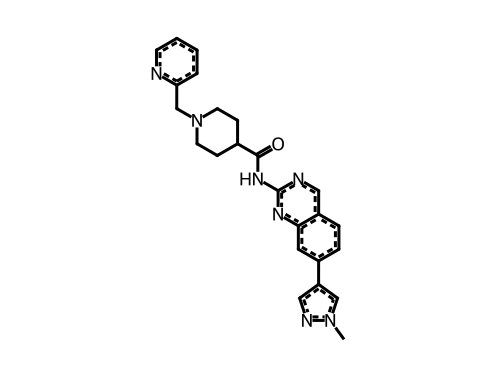 Cn1cc(-c2ccc3cnc(NC(=O)C4CCN(Cc5ccccn5)CC4)nc3c2)cn1